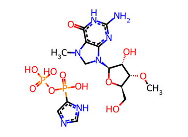 CO[C@H]1[C@@H](O)[C@H](N2CN(C)c3c2nc(N)[nH]c3=O)O[C@@H]1CO.O=P(O)(O)OP(=O)(O)c1cnc[nH]1